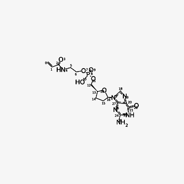 C=CC(=O)NCCOP(=O)(O)OC[C@@H]1CC[C@H](n2cnc3c(=O)[nH]c(N)nc32)O1